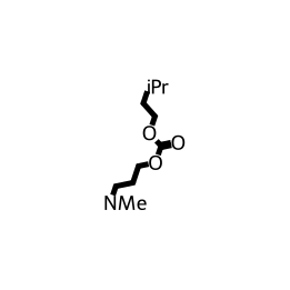 CNCCCOC(=O)OCCC(C)C